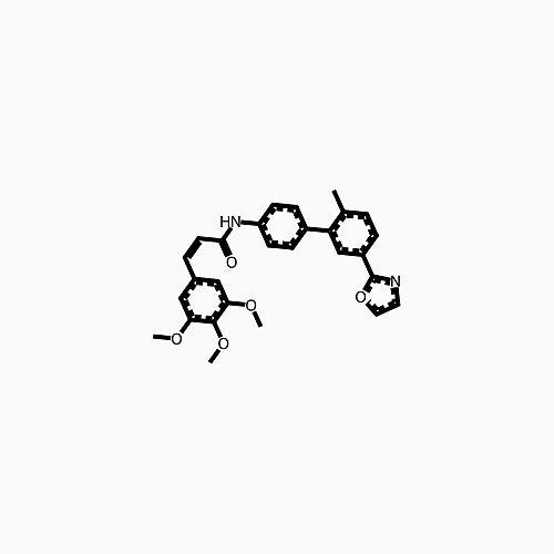 COc1cc(/C=C\C(=O)Nc2ccc(-c3cc(-c4ncco4)ccc3C)cc2)cc(OC)c1OC